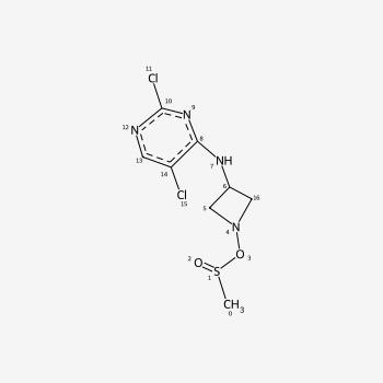 CS(=O)ON1CC(Nc2nc(Cl)ncc2Cl)C1